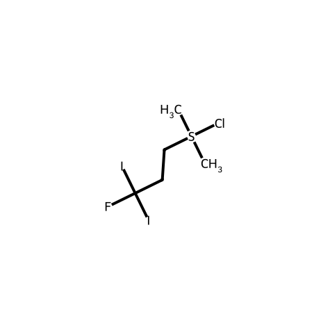 CS(C)(Cl)CCC(F)(I)I